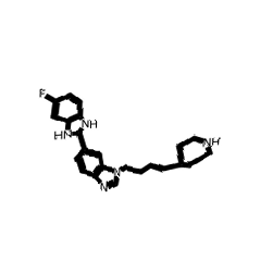 Fc1ccc2c(c1)NC(c1ccc3ncn(CCCCC4CCNCC4)c3c1)N2